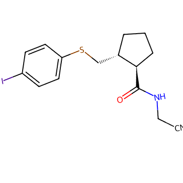 N#CCNC(=O)[C@@H]1CCC[C@H]1CSc1ccc(I)cc1